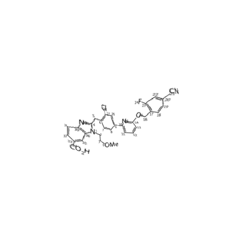 COCCn1c(Cc2ccc(-c3cccc(OCc4ccc(C#N)cc4F)n3)cc2Cl)nc2ccc(C(=O)O)cc21